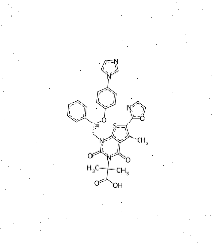 Cc1c(-c2ncco2)sc2c1c(=O)n(C(C)(C)C(=O)O)c(=O)n2C[C@@H](Oc1ccc(-n2ccnc2)cc1)c1ccccc1